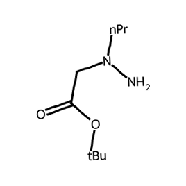 CCCN(N)CC(=O)OC(C)(C)C